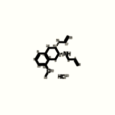 C=CCN[C@@H]1Cc2c(cccc2OC)C[C@@H]1CC=C.Cl